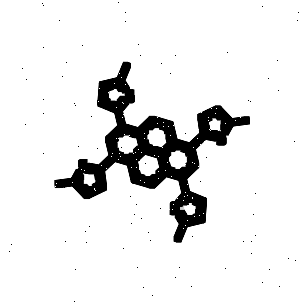 Cc1ccc(-c2cc(-c3ccc(C)s3)c3ccc4c(-c5ccc(C)s5)cc(-c5ccc(C)s5)c5ccc2c3c54)s1